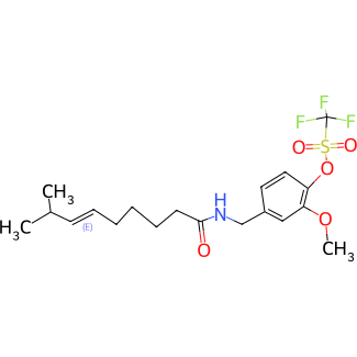 COc1cc(CNC(=O)CCCC/C=C/C(C)C)ccc1OS(=O)(=O)C(F)(F)F